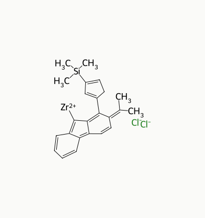 CC(C)=c1ccc2c(c1C1=CC([Si](C)(C)C)=CC1)[C]([Zr+2])=c1ccccc1=2.[Cl-].[Cl-]